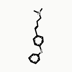 CN(C)CCC=Cc1ccc(Sc2ccccc2)cc1